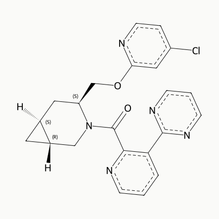 O=C(c1ncccc1-c1ncccn1)N1C[C@@H]2C[C@H]2C[C@H]1COc1cc(Cl)ccn1